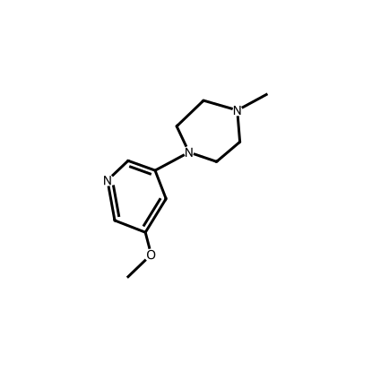 COc1cncc(N2CCN(C)CC2)c1